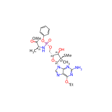 CCOc1nc(N)nc2c1ncn2[C@@H]1O[C@H](COP(=O)(N[C@@H](C)C(=O)OC)Oc2ccccc2)[C@@H](O)[C@@]1(C)SC